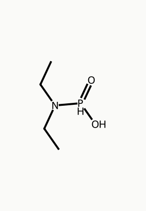 CCN(CC)[PH](=O)O